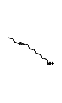 CCCC#CCCCCCCC[NH]